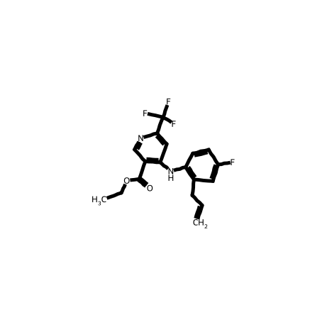 C=CCc1cc(F)ccc1Nc1cc(C(F)(F)F)ncc1C(=O)OCC